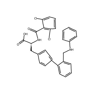 O=C(N[C@@H](Cc1ccc(-c2ccccc2CNc2ccccc2)cc1)C(=O)O)c1c(Cl)cccc1Cl